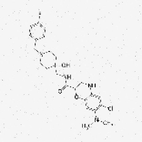 CN(C)c1cc2c(cc1Cl)NCC(C(=O)NCC1(O)CCN(Cc3ccc(F)cc3)CC1)O2